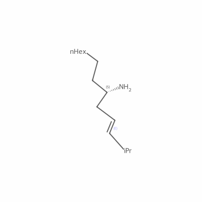 CCCCCCCC[C@H](N)C/C=C/C(C)C